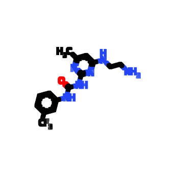 Cc1cc(NCCN)nc(NC(=O)Nc2cccc(C(F)(F)F)c2)n1